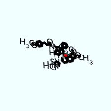 COc1ccc(CCC(=O)NCCCC(CCCN2CCCCC23CCc2cc(OC)c(OC)cc2C3=O)(c2ccccc2)c2ccccc2)cc1.Cl.S=C1NCCN1